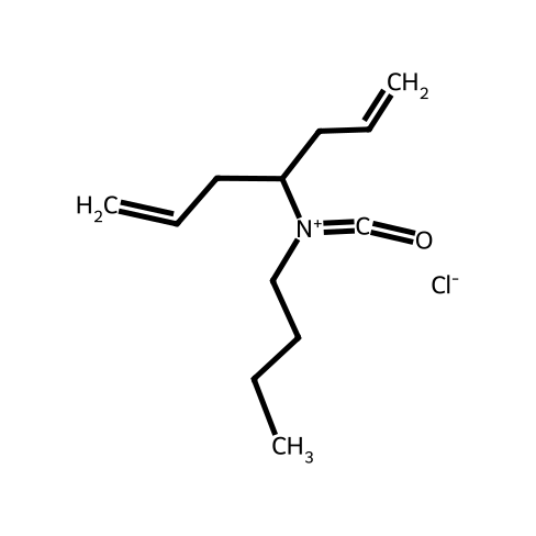 C=CCC(CC=C)[N+](=C=O)CCCC.[Cl-]